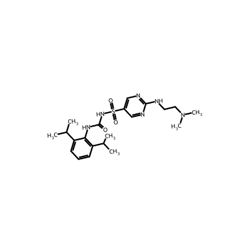 CC(C)c1cccc(C(C)C)c1NC(=O)NS(=O)(=O)c1cnc(NCCN(C)C)nc1